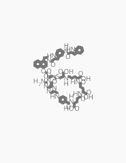 Nc1nc2ncc(CNc3ccc(C(=O)NC(CCC(=O)NC(CCC(=O)NC(CCCNC(CSSCCOC(=O)Oc4cc5c(c6ccccc46)CCN5C(=O)c4cc5cc(NC(=O)c6cc7ccccc7[nH]6)ccc5[nH]4)C(=O)O)C(=O)O)C(=O)O)C(=O)O)cc3)nc2c(=O)[nH]1